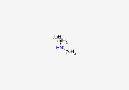 [LiH].[SiH3]N[SiH3]